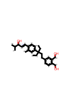 CCC(CC)(CCc1ccc(CO)c(CO)c1)c1ccc(/C=C/C(O)C(C)C)c(C)c1